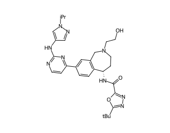 CC(C)n1cc(Nc2nccc(-c3ccc4c(c3)CN(CCO)CC[C@@H]4NC(=O)c3nnc(C(C)(C)C)o3)n2)cn1